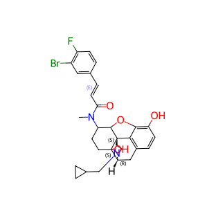 CN(C(=O)/C=C/c1ccc(F)c(Br)c1)C1CC[C@@]2(O)[C@H]3Cc4ccc(O)c5c4[C@@]2(CCN3CC2CC2)C1O5